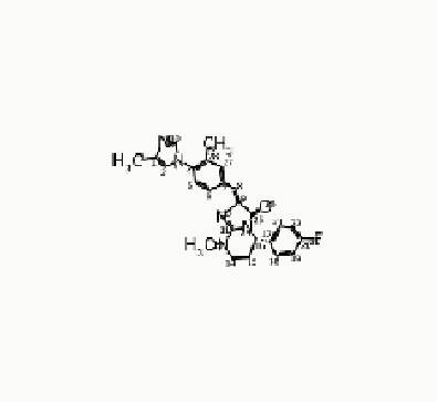 Cc1cn(-c2ccc(/C=C3\N=C4N(C)CC[C@@H](c5ccc(F)cc5)N4C3=O)cc2C)cn1